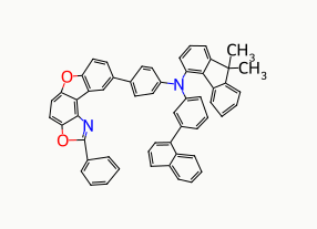 CC1(C)c2ccccc2-c2c(N(c3ccc(-c4ccc5oc6ccc7oc(-c8ccccc8)nc7c6c5c4)cc3)c3cccc(-c4cccc5ccccc45)c3)cccc21